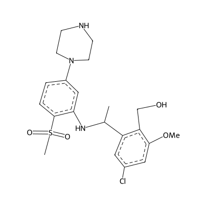 COc1cc(Cl)cc(C(C)Nc2cc(N3CCNCC3)ccc2S(C)(=O)=O)c1CO